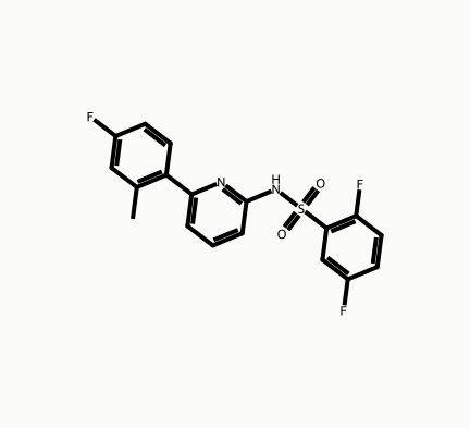 Cc1cc(F)ccc1-c1cccc(NS(=O)(=O)c2cc(F)ccc2F)n1